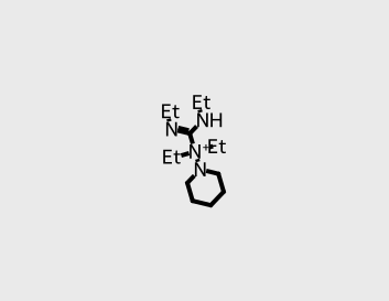 CCN=C(NCC)[N+](CC)(CC)N1CCCCC1